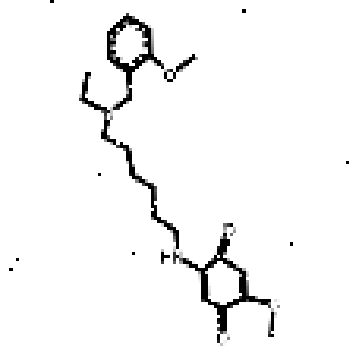 CCN(CCCCCCNC1=CC(=O)C(OC)=CC1=O)Cc1ccccc1OC